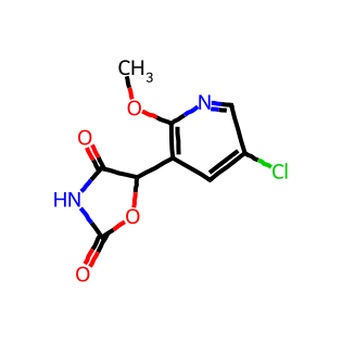 COc1ncc(Cl)cc1C1OC(=O)NC1=O